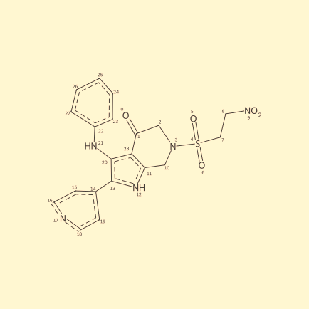 O=C1CN(S(=O)(=O)CC[N+](=O)[O-])Cc2[nH]c(-c3ccncc3)c(Nc3ccccc3)c21